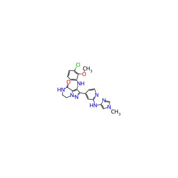 COc1c(Cl)cccc1Nc1c(-c2ccnc(Nc3cn(C)cn3)c2)nn2c1C(=O)NCC2